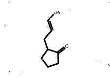 CCC/C=C/CC1CCCC1=O